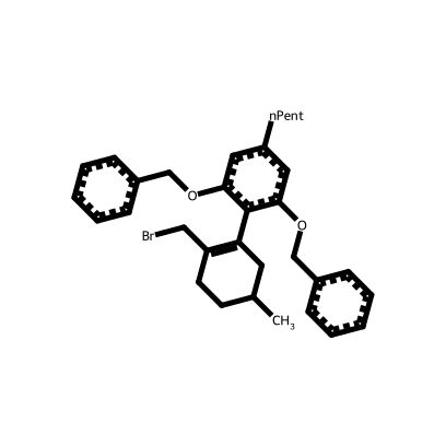 CCCCCc1cc(OCc2ccccc2)c(C2=C(CBr)CCC(C)C2)c(OCc2ccccc2)c1